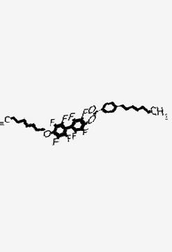 CCCCCCCCOc1c(F)c(F)c(-c2c(F)c(F)c(OC(=O)[C@H]3CC[C@H](CCCCCCC)CC3)c(F)c2F)c(F)c1F